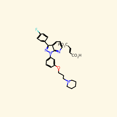 Fc1ccc(-c2nn(-c3cccc(OCCCN4CCCCC4)c3)c3ncccc23)cc1.O=C(O)C=CC(=O)O